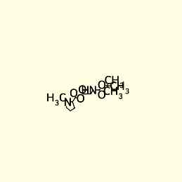 CN1CCCC1C(=O)OC(=O)CNC(=O)OC(C)(C)C